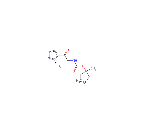 CCC(C)(CC)OC(=O)NCC(=O)c1conc1C